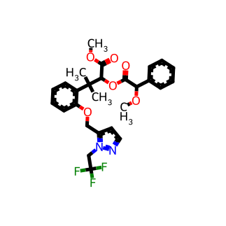 COC(=O)C(OC(=O)C(OC)c1ccccc1)C(C)(C)c1ccccc1OCc1ccnn1CC(F)(F)F